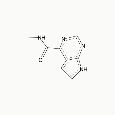 CNC(=O)c1ncnc2[nH]ccc12